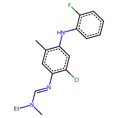 CCN(C)C=Nc1cc(C)c(Nc2ccccc2F)cc1Cl